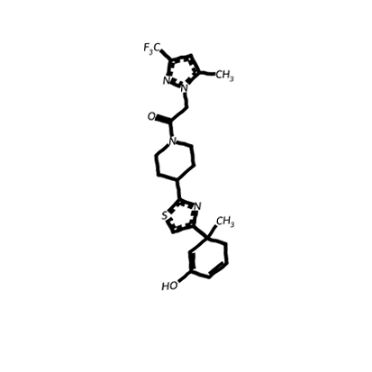 Cc1cc(C(F)(F)F)nn1CC(=O)N1CCC(c2nc(C3(C)C=C(O)C=CC3)cs2)CC1